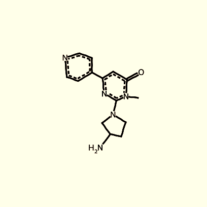 Cn1c(N2CCC(N)C2)nc(-c2ccncc2)cc1=O